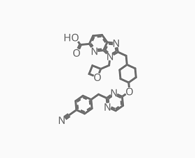 N#Cc1ccc(Cc2nccc(OC3CCC(Cc4nc5ccc(C(=O)O)nc5n4CC4CCO4)CC3)n2)cc1